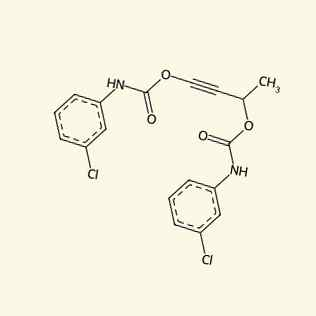 CC(C#COC(=O)Nc1cccc(Cl)c1)OC(=O)Nc1cccc(Cl)c1